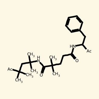 CC(=O)C(Cc1ccccc1)NC(=O)CCC(C)(C)C(=O)NC(C)(C)CC(C)(C)C(C)=O